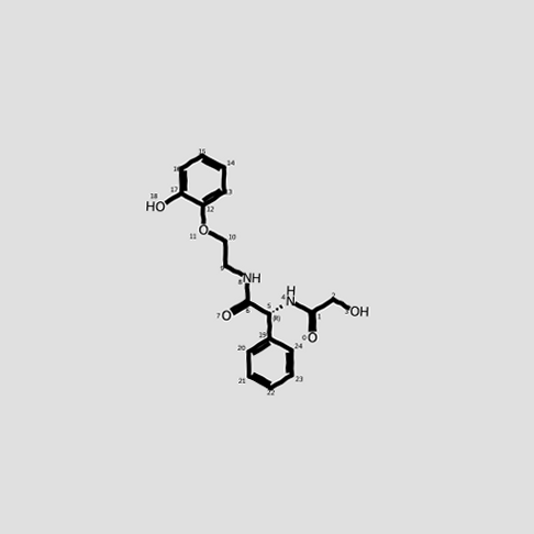 O=C(CO)N[C@@H](C(=O)NCCOc1ccccc1O)c1ccccc1